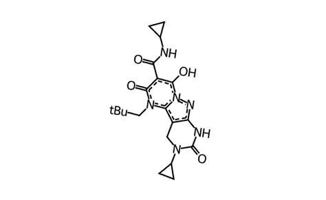 CC(C)(C)Cn1c(=O)c(C(=O)NC2CC2)c(O)n2nc3c(c12)CN(C1CC1)C(=O)N3